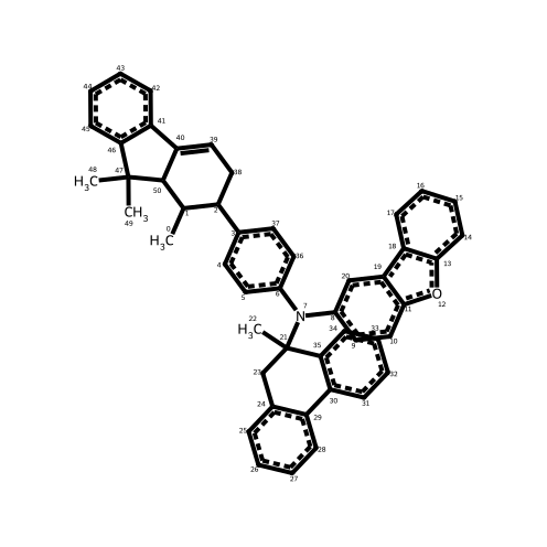 CC1C(c2ccc(N(c3ccc4oc5ccccc5c4c3)C3(C)Cc4ccccc4-c4ccccc43)cc2)CC=C2c3ccccc3C(C)(C)C21